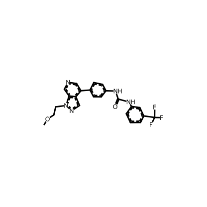 COCCn1ncc2c(-c3ccc(NC(=O)Nc4cccc(C(F)(F)F)c4)cc3)cncc21